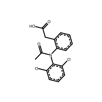 CC(=O)N(c1ccccc1CC(=O)O)c1c(Cl)cccc1Cl